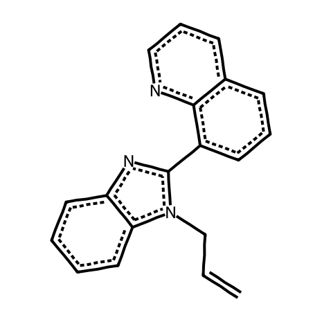 C=CCn1c(-c2cccc3cccnc23)nc2ccccc21